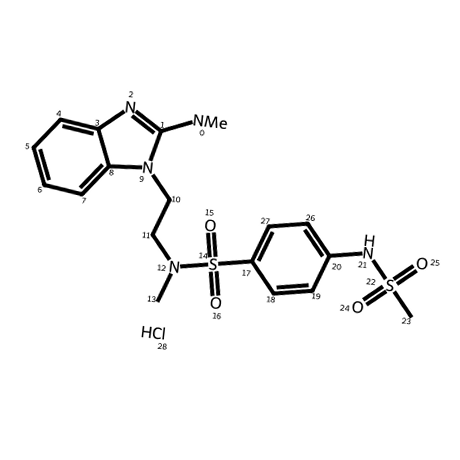 CNc1nc2ccccc2n1CCN(C)S(=O)(=O)c1ccc(NS(C)(=O)=O)cc1.Cl